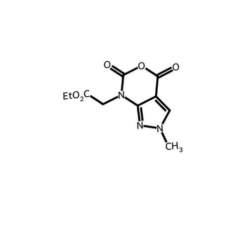 CCOC(=O)Cn1c(=O)oc(=O)c2cn(C)nc21